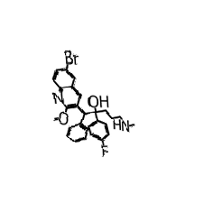 CNCCCC(O)(c1ccc(F)cc1)C(c1ccccc1)c1cc2cc(Br)ccc2nc1OC